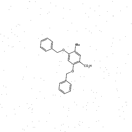 CC(C)(C)c1cc(C(=O)O)c(OCc2ccccc2)cc1OCc1ccccc1